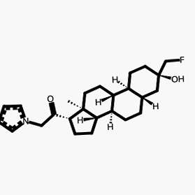 C[C@]12CC[C@H]3[C@@H](CC[C@H]4C[C@@](O)(CF)CC[C@@H]43)[C@@H]1CC[C@@H]2C(=O)Cn1cccc1